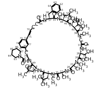 CC(C)C[C@@H]1NC(=O)[C@H](CC(C)C)N(C)C(=O)[C@H](C)NC(=O)[C@H](C)N(C)C(=O)[C@H]([C@@H](C)O)NC(=O)CN(C)C(=O)[C@H](C(C)C)N(C)C(=O)[C@H](CC(C)C)N(C)C(=O)[C@H](Cc2ccccc2)NC(=O)CC/C=C/c2cccc(c2)C[C@@H](C(=O)N2CCCCC2)NC1=O